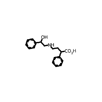 O=C(O)C(CCNCC(O)c1ccccc1)c1ccccc1